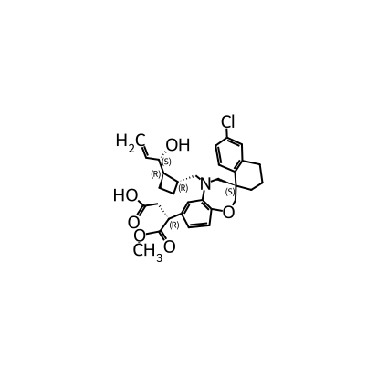 C=C[C@H](O)[C@@H]1CC[C@H]1CN1C[C@@]2(CCCc3cc(Cl)ccc32)COc2ccc([C@@H](CC(=O)O)C(=O)OC)cc21